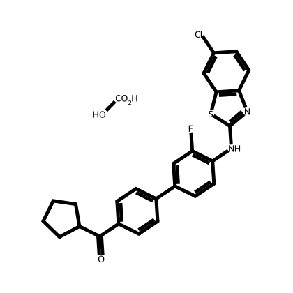 O=C(O)O.O=C(c1ccc(-c2ccc(Nc3nc4ccc(Cl)cc4s3)c(F)c2)cc1)C1CCCC1